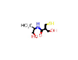 O=C(N[C@@H](CO)C(=O)O)C(CO)CS